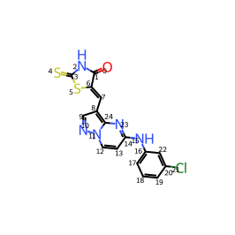 O=C1NC(=S)SC1=Cc1cnn2ccc(Nc3cccc(Cl)c3)nc12